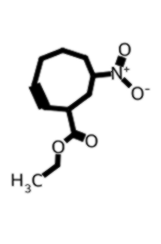 CCOC(=O)C1C#CCCCC([N+](=O)[O-])C1